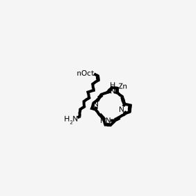 C1=Cc2cc3ccc(cc4nc(cc5ccc(cc1n2)[nH]5)CC4)[nH]3.CCCCCCCC/C=C\CCCCCCCCN.[Zn]